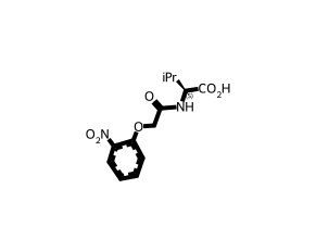 CC(C)[C@H](NC(=O)COc1ccccc1[N+](=O)[O-])C(=O)O